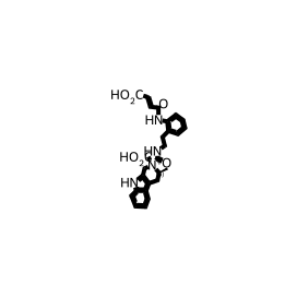 C[C@H]1Cc2c([nH]c3ccccc23)C[N+]1(C(=O)O)C(=O)NCCc1ccccc1NC(=O)C=CC(=O)O